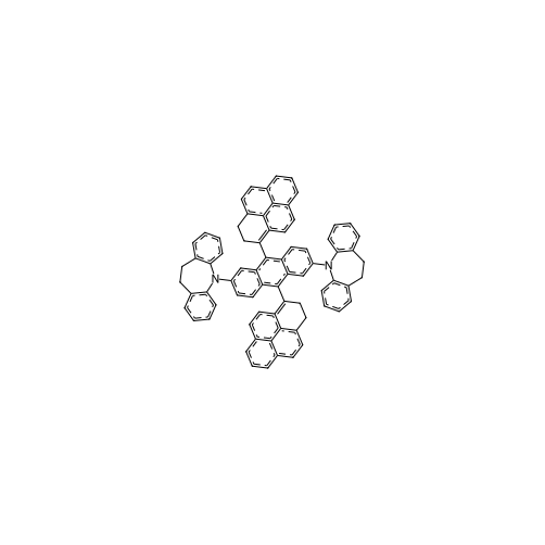 c1ccc2c(c1)CCc1ccccc1N2c1ccc2c(C3=c4ccc5cccc6ccc(c4c65)CC3)c3cc(N4c5ccccc5CCc5ccccc54)ccc3c(C3=c4ccc5cccc6ccc(c4c65)CC3)c2c1